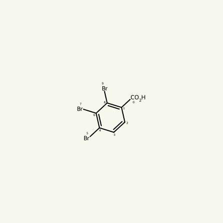 O=C(O)c1ccc(Br)c(Br)c1Br